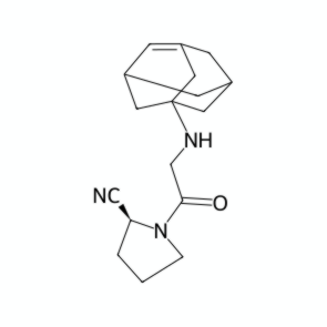 N#C[C@@H]1CCCN1C(=O)CNC12CC3=CC(CC(C3)C1)C2